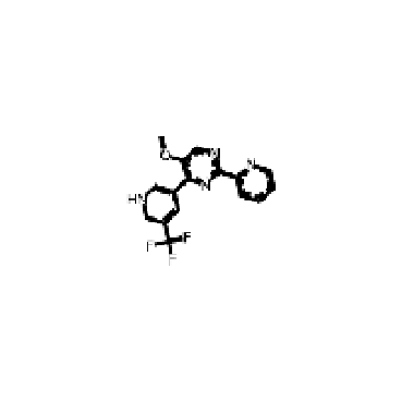 COc1cnc(-c2ccccn2)nc1C1=[C]NCC(C(F)(F)F)=C1